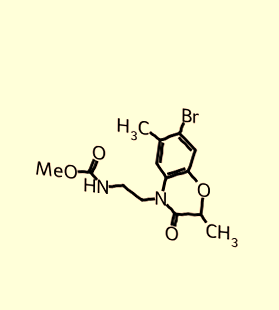 COC(=O)NCCN1C(=O)C(C)Oc2cc(Br)c(C)cc21